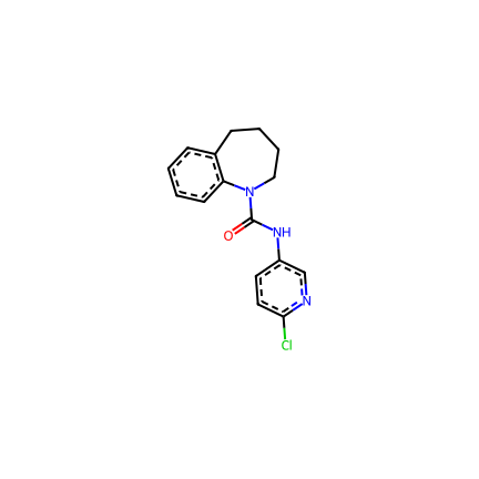 O=C(Nc1ccc(Cl)nc1)N1CCCCc2ccccc21